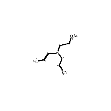 CC(=O)OCCN(CCC#N)CCC#N